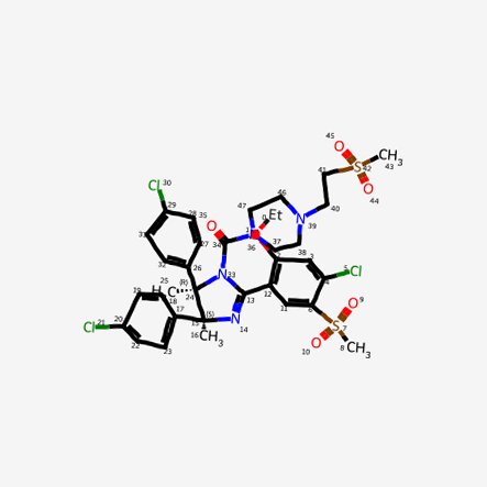 CCOc1cc(Cl)c(S(C)(=O)=O)cc1C1=N[C@@](C)(c2ccc(Cl)cc2)[C@@](C)(c2ccc(Cl)cc2)N1C(=O)N1CCN(CCS(C)(=O)=O)CC1